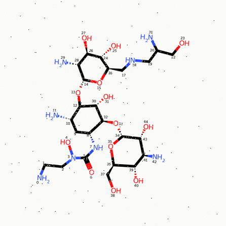 NCCN(O)C(=O)N[C@@H]1C[C@H](N)C(O[C@H]2O[C@H](CNCC(N)CO)[C@@H](O)[C@H](O)[C@H]2N)[C@H](O)[C@H]1O[C@H]1O[C@H](CO)[C@@H](O)[C@H](N)[C@H]1O